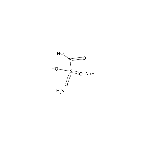 O=S(O)S(=O)(=O)O.S.[NaH]